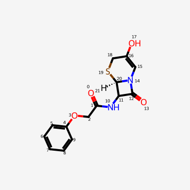 O=C(COc1ccccc1)NC1C(=O)N2C=C(O)CS[C@H]12